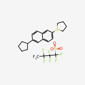 O=S(=O)([O-])C(F)(F)C(F)(F)C(F)(F)C(F)(F)F.c1cc2cc([S+]3CCCC3)ccc2cc1C1CCCC1